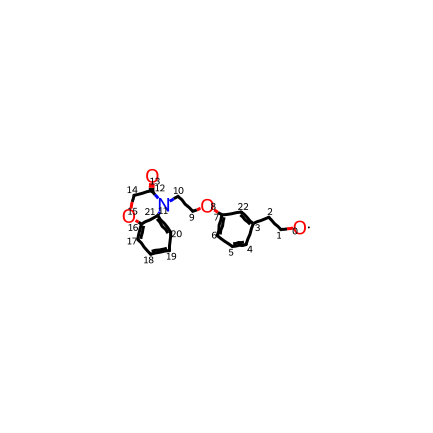 [O]CCc1cccc(OCCN2C(=O)COc3ccccc32)c1